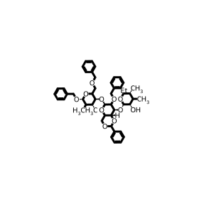 CCC1O[C@@H](O[C@@H]2C(OCc3ccccc3)[C@H](O[C@@H]3C(COCc4ccccc4)O[C@@H](OCc4ccccc4)C(C)[C@H]3C)OC3COC(c4ccccc4)O[C@H]32)[C@@H](O)C(C)[C@H]1C